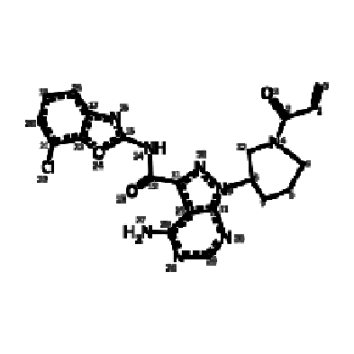 C=CC(=O)N1CCCC(n2nc(C(=O)Nc3nc4cccc(Cl)c4o3)c3c(N)ncnc32)C1